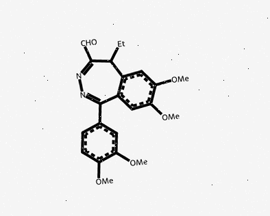 CCC1C(C=O)=NN=C(c2ccc(OC)c(OC)c2)c2cc(OC)c(OC)cc21